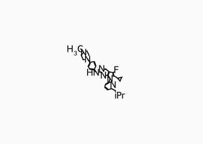 CC(C)Cc1cccc(-n2c(C3CC3)c(F)c3cnc(Nc4ccc(N5CCN(C)CC5)cc4)nc32)n1